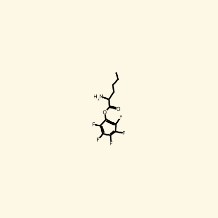 CCCCC(N)C(=O)Oc1c(F)c(F)c(F)c(F)c1F